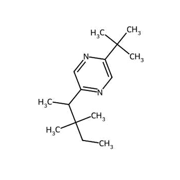 CCC(C)(C)C(C)c1cnc(C(C)(C)C)cn1